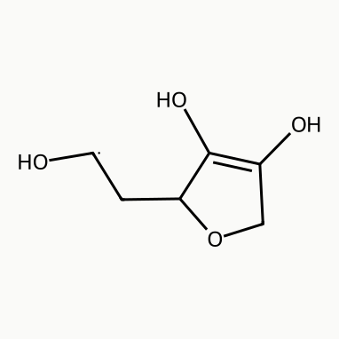 O[CH]CC1OCC(O)=C1O